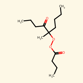 CCCCC(C)(OOC(=O)CCC)C(=O)CCC